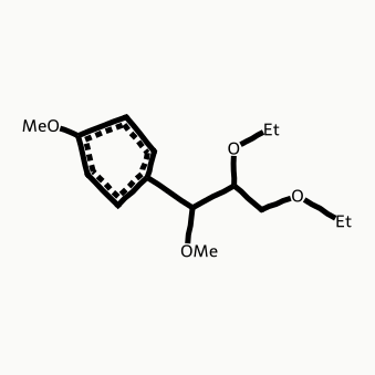 CCOCC(OCC)C(OC)c1ccc(OC)cc1